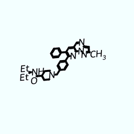 CCC(CC)NC(=O)C1CCN(Cc2ccc(-c3nc4c(cnc5cc(C)nn54)cc3-c3ccccc3)cc2)CC1